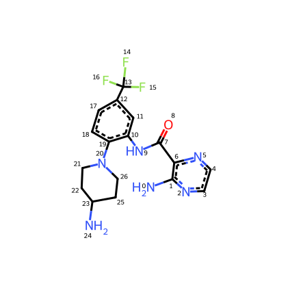 Nc1nccnc1C(=O)Nc1cc(C(F)(F)F)ccc1N1CCC(N)CC1